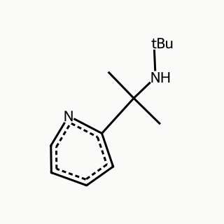 CC(C)(C)NC(C)(C)c1ccccn1